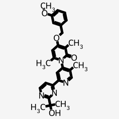 COc1cccc(COc2cc(C)n(-c3cc(-c4ccnc(C(C)(C)O)n4)ncc3C)c(=O)c2C)c1